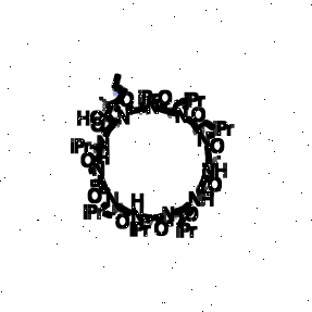 C=C1C(=O)N(C)[C@@H](CC(C)C)C(=O)N[C@H](C(C)C)C(=O)N(C)[C@H](CC(C)C)C(=O)N[C@H](C)C(=O)N[C@@H](C)C(=O)N(C)[C@H](CC(C)C)C(=O)N(C)[C@H](CC(C)C)C(=O)N(C)[C@H](C(C)C)C(=O)N(C)[C@H]([C@H](O)[C@H](C)C/C=C/C)C(=O)N[C@H](C(C)C)C(=O)N1C